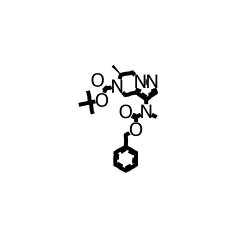 C[C@H]1Cn2ncc(N(C)C(=O)OCc3ccccc3)c2CN1C(=O)OC(C)(C)C